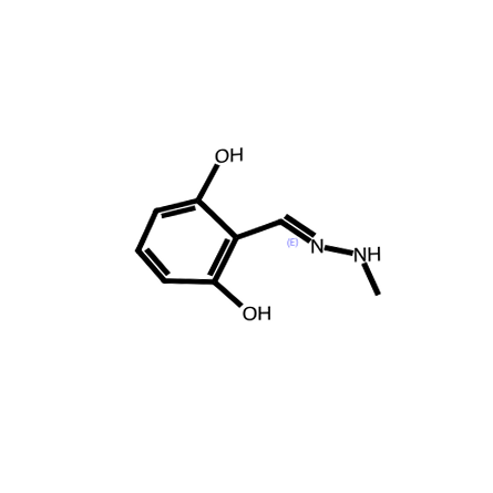 CN/N=C/c1c(O)cccc1O